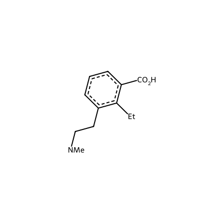 CCc1c(CCNC)cccc1C(=O)O